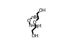 CCCCCCCOCCCC.OCCOCCO